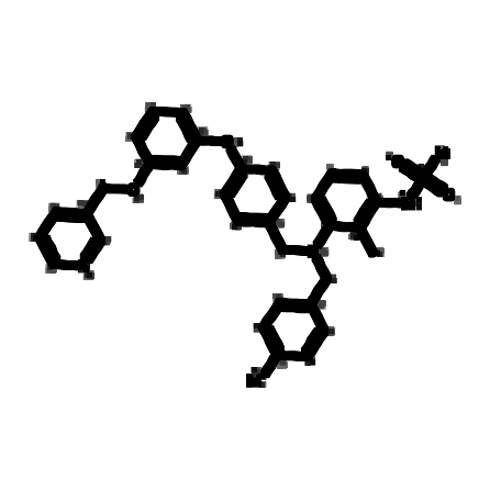 CCS(=O)(=O)Nc1cccc(N(Cc2ccc(C#N)cc2)Cc2ccc(Oc3cccc(OCc4cccnc4)c3)cc2)c1C